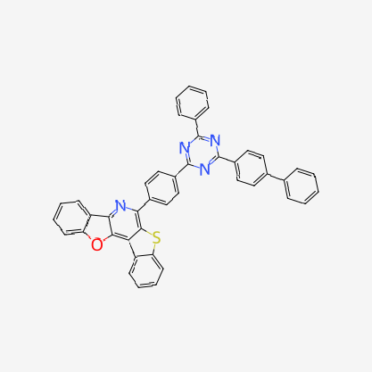 c1ccc(-c2ccc(-c3nc(-c4ccccc4)nc(-c4ccc(-c5nc6c7ccccc7oc6c6c5sc5ccccc56)cc4)n3)cc2)cc1